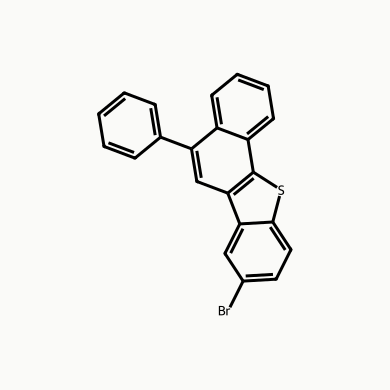 Brc1ccc2sc3c4ccccc4c(-c4ccccc4)cc3c2c1